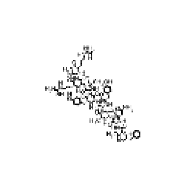 CN[C@@H](N[C@@H](C=O)Cc1ccccc1)C(=O)N[C@@H](N[C@@H](C=O)CC(N)=O)C(=O)N[C@@H](N[C@@H](C)C=O)C(=O)N[C@@H](N[C@@H](C=O)Cc1ccc(O)cc1)C(=O)N[C@@H](N[C@@H](C=O)Cc1ccc(O)cc1)C(=O)N[C@@H](N[C@@H](C)C=O)C(=O)N[C@@H](N[C@@H](C=O)CCCNC(=N)N)C(=O)N[C@@H](N[C@@H](C=O)CCCNC(=N)N)C(N)=O